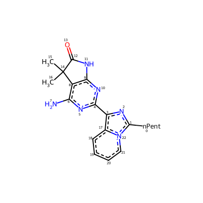 CCCCCc1nc(-c2nc(N)c3c(n2)NC(=O)C3(C)C)c2ccccn12